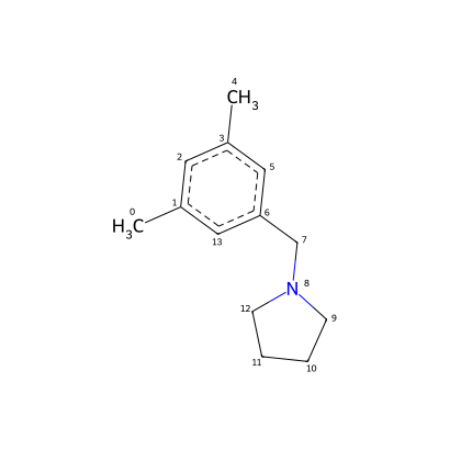 Cc1cc(C)cc(CN2CCCC2)c1